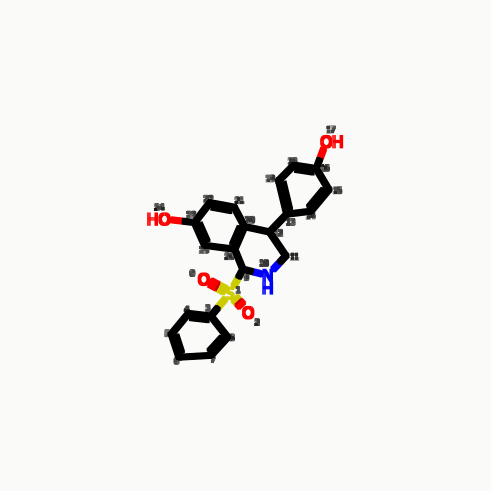 O=S(=O)(c1ccccc1)C1NCC(c2ccc(O)cc2)c2ccc(O)cc21